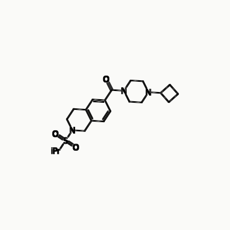 CC(C)S(=O)(=O)N1CCc2cc(C(=O)N3CCN(C4CCC4)CC3)ccc2C1